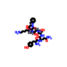 C[C@H](NC(=O)[C@H](CO)NC(=O)[C@H](CCC(N)=O)NC(=O)[C@@H](N)Cc1ccc(O)cc1)C(=O)N[C@@H](CO)C(=O)N[C@@H](Cc1ccccc1)C(=O)N[C@@H](CCCCN)C(=O)O